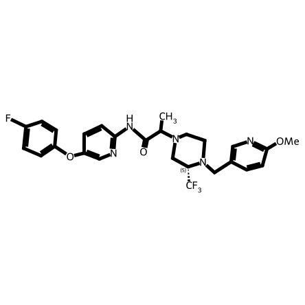 COc1ccc(CN2CCN(C(C)C(=O)Nc3ccc(Oc4ccc(F)cc4)cn3)C[C@H]2C(F)(F)F)cn1